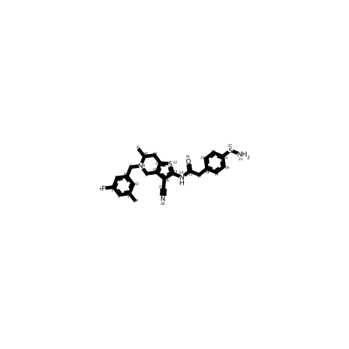 Cc1cc(F)cc(CN2Cc3c(sc(NC(=O)Cc4ccc(SN)cc4)c3C#N)CC2C)c1